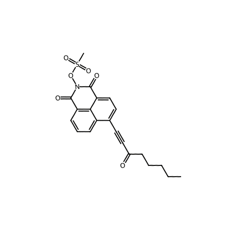 CCCCCC(=O)C#Cc1ccc2c3c(cccc13)C(=O)N(OS(C)(=O)=O)C2=O